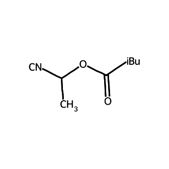 [C-]#[N+]C(C)OC(=O)C(C)CC